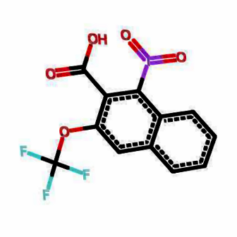 O=C(O)c1c(OC(F)(F)F)cc2ccccc2c1I(=O)=O